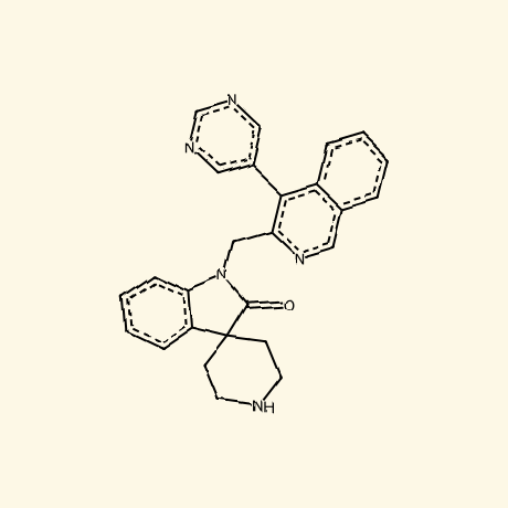 O=C1N(Cc2ncc3ccccc3c2-c2cncnc2)c2ccccc2C12CCNCC2